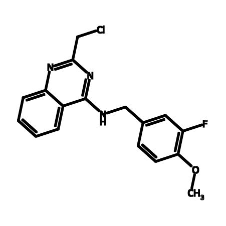 COc1ccc(CNc2nc(CCl)nc3ccccc23)cc1F